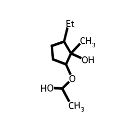 CCC1CCC(OC(C)O)C1(C)O